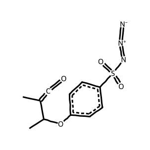 CC(=C=O)C(C)Oc1ccc(S(=O)(=O)N=[N+]=[N-])cc1